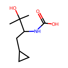 CC(C)(O)C(CC1CC1)NC(=O)O